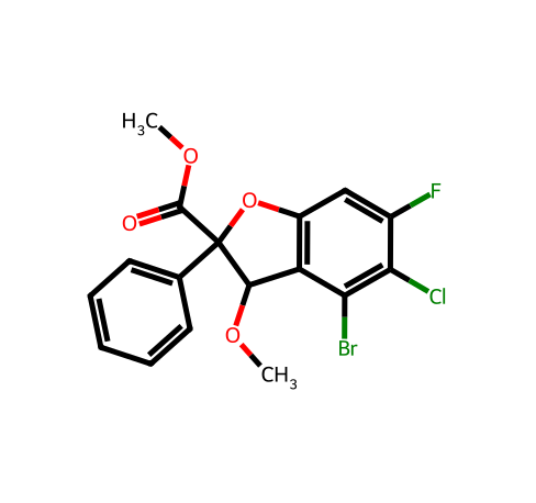 COC(=O)C1(c2ccccc2)Oc2cc(F)c(Cl)c(Br)c2C1OC